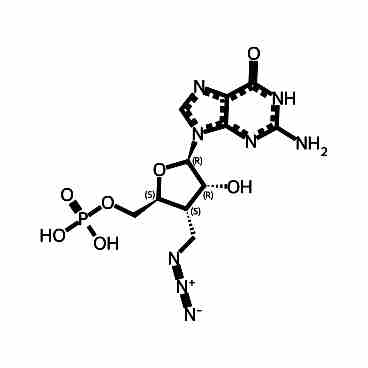 [N-]=[N+]=NC[C@H]1[C@@H](O)[C@H](n2cnc3c(=O)[nH]c(N)nc32)O[C@@H]1COP(=O)(O)O